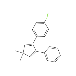 CC1(C)C=C(c2ccccc2)C(c2ccc(F)cc2)=C1